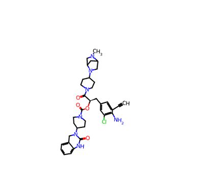 C#Cc1cc(C[C@@H](OC(=O)N2CCC(N3Cc4ccccc4NC3=O)CC2)C(=O)N2CCC(N3CC4CC3CN4C)CC2)cc(Cl)c1N